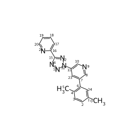 Cc1ccc(C)c(-c2cncc(-n3nnc(-c4ccccn4)n3)c2)c1